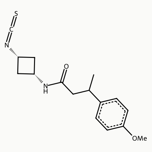 COc1ccc(C(C)CC(=O)N[C@H]2C[C@@H](N=C=S)C2)cc1